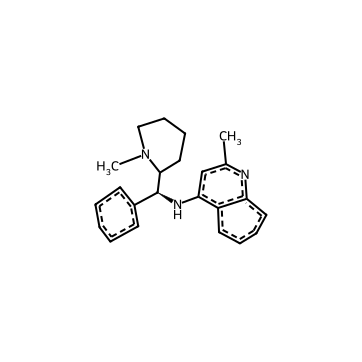 Cc1cc(N[C@@H](c2ccccc2)C2CCCCN2C)c2ccccc2n1